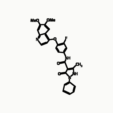 COc1cc2nccc(Oc3ccc(NC(=O)c4c(C)[nH]n(-c5ccccc5)c4=O)cc3F)c2cc1OC